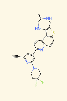 C#Cc1cc(-c2ccc3c(ccc4sc5c(c43)NC[C@@H](C)NC5)n2)cc(N2CCC(F)(F)CC2)n1